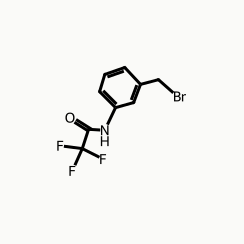 O=C(Nc1cccc(CBr)c1)C(F)(F)F